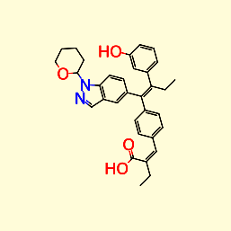 CCC(=Cc1ccc(C(=C(CC)c2cccc(O)c2)c2ccc3c(cnn3C3CCCCO3)c2)cc1)C(=O)O